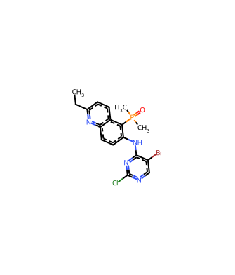 CCc1ccc2c(P(C)(C)=O)c(Nc3nc(Cl)ncc3Br)ccc2n1